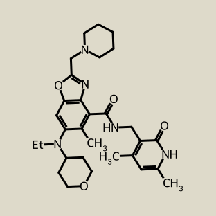 CCN(c1cc2oc(CN3CCCCC3)nc2c(C(=O)NCc2c(C)cc(C)[nH]c2=O)c1C)C1CCOCC1